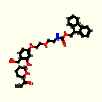 COC(=O)[C@@H]1[CH][CH][CH][C@H](Oc2cc(OCCOCCNC(=O)OCC3c4ccccc4-c4ccccc43)ccc2CO)O1